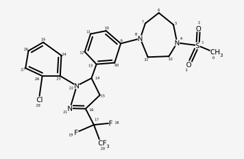 CS(=O)(=O)N1CCCN(c2cccc(C3CC(C(F)(F)C(F)(F)F)=NN3c3ccccc3Cl)c2)CC1